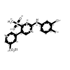 CCOC(=O)c1cncc(-c2cnc(Nc3ccc(F)c(Cl)c3)nc2S(C)(=O)=O)c1